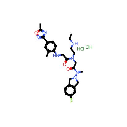 CCNCCN(CC(=O)N(C)N1Cc2ccc(F)cc2C1)C(=O)CNc1ccc(-c2noc(C)n2)cc1C.Cl.Cl